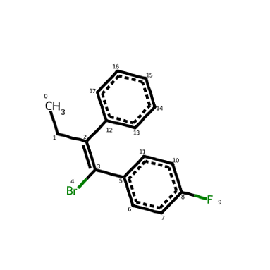 CCC(=C(Br)c1ccc(F)cc1)c1ccccc1